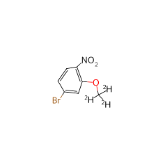 [2H]C([2H])([2H])Oc1cc(Br)ccc1[N+](=O)[O-]